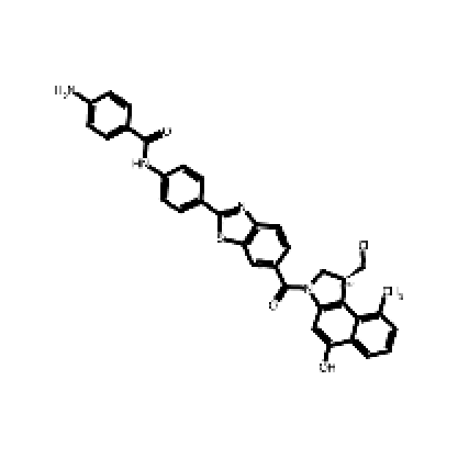 Cc1cccc2c(O)cc3c(c12)[C@H](CCl)CN3C(=O)c1ccc2nc(-c3ccc(NC(=O)c4ccc(N)cc4)cc3)sc2c1